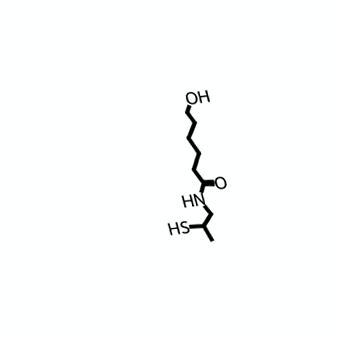 CC(S)CNC(=O)CCCCCO